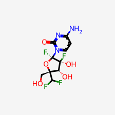 Nc1ccn([C@]2(F)O[C@@](CO)(C(F)F)[C@@H](O)[C@]2(O)F)c(=O)n1